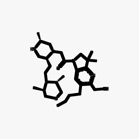 CCCCc1cc2c(nc1CO)C(C)(C)CN2C(=O)CN1C[C@@H](C)NC[C@@H]1CCN1[C@H](C)COC[C@H]1C